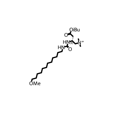 COCCCCCCCCCCCCNC(=O)N[C@H](CC(=O)OCC(C)C)C[N+](C)(C)C